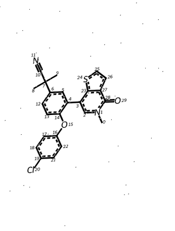 Cn1cc(-c2cc(C(C)(C)C#N)ccc2Oc2ccc(Cl)cc2)c2sccc2c1=O